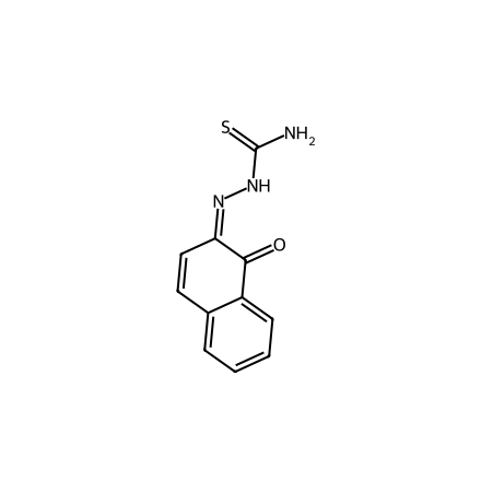 NC(=S)NN=C1C=Cc2ccccc2C1=O